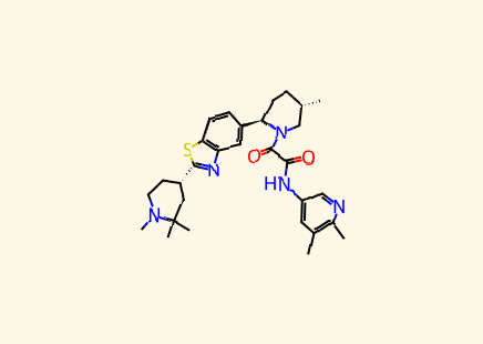 Cc1cc(NC(=O)C(=O)N2C[C@@H](C)CC[C@@H]2c2ccc3sc([C@H]4CCN(C)C(C)(C)C4)nc3c2)cnc1C